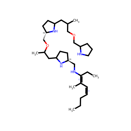 CCC/C=C\C(C)=C(/CC)NC[C@@H]1CCC(CC(C)OC[C@@H]2CCC(CC(C)COCC3CCCN3)N2)N1